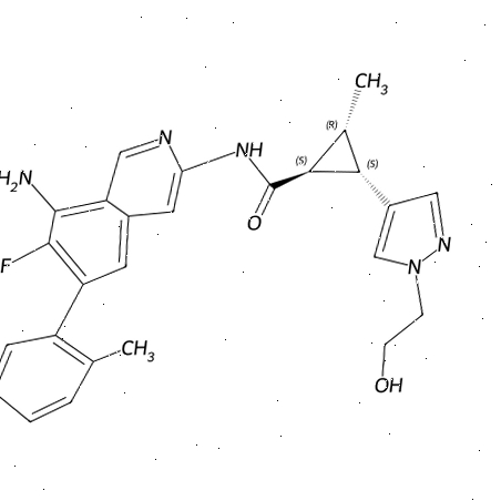 Cc1ccncc1-c1cc2cc(NC(=O)[C@H]3[C@H](C)[C@@H]3c3cnn(CCO)c3)ncc2c(N)c1F